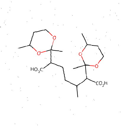 CC1CCOC(C)(C(CCC(C)C(C(=O)O)C2(C)OCCC(C)O2)C(=O)O)O1